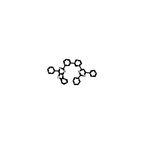 c1ccc(-c2cc(-c3cccc(-c4cccc(-c5nc(-c6ccccc6)c6oc7ccccc7c6n5)c4)c3)nc(-c3ccccc3)n2)cc1